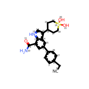 N#CCc1ccc(-c2cc(C(N)=O)c3[nH]cc(C4CCS(O)(O)CC4)c3c2)cc1